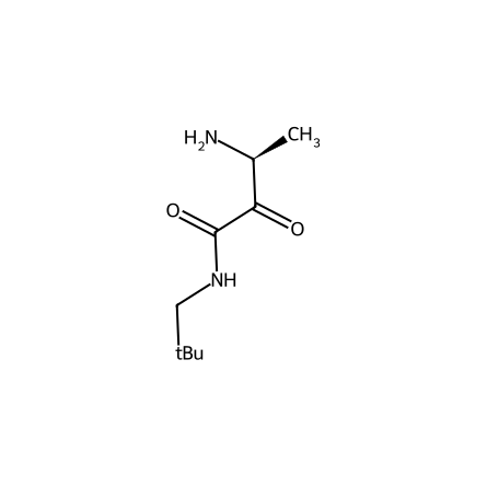 C[C@H](N)C(=O)C(=O)NCC(C)(C)C